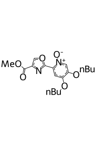 CCCCOc1cc(-c2nc(C(=O)OC)co2)[n+]([O-])cc1OCCCC